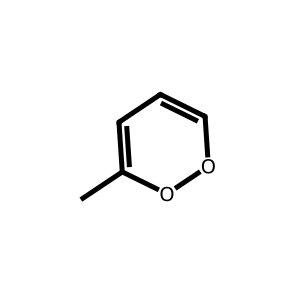 CC1=CC=COO1